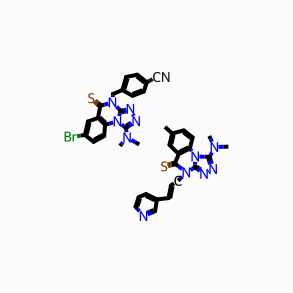 CN(C)c1nnc2n(Cc3ccc(C#N)cc3)c(=S)c3cc(Br)ccc3n12.Cc1ccc2c(c1)c(=S)n(CC=Cc1cccnc1)c1nnc(N(C)C)n21